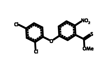 COC(=S)c1cc(Oc2ccc(Cl)cc2Cl)ccc1[N+](=O)[O-]